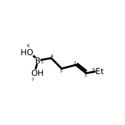 CC/C=C/CCB(O)O